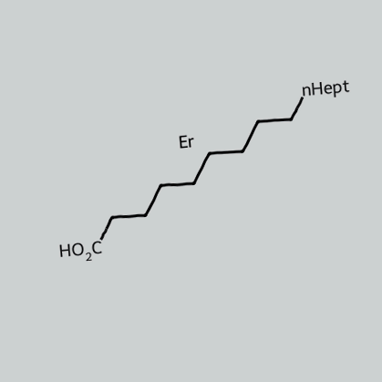 CCCCCCCCCCCCCCCC(=O)O.[Er]